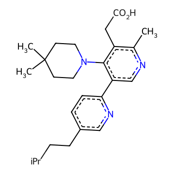 Cc1ncc(-c2ccc(CCC(C)C)cn2)c(N2CCC(C)(C)CC2)c1CC(=O)O